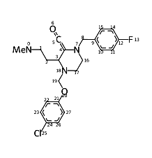 CNCCC1C(=C=O)N(Cc2ccc(F)cc2)CCN1COc1ccc(Cl)cc1